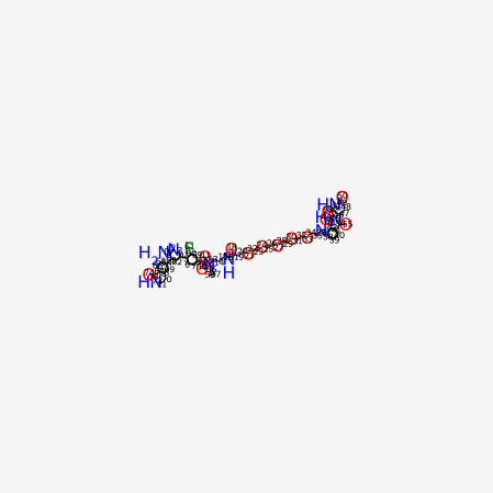 Nc1ncc(-c2ccc(S(=O)(=O)N(CCCNC(=O)CCOCCOCCOCCOCCOCCNc3cccc4c3C(=O)N(C3CCC(=O)NC3=O)C4=O)C3CC3)cc2F)cc1-c1ccc2c(c1)CCNC2=O